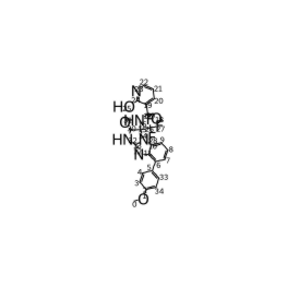 COc1ccc(-c2cccc3c2nc2n3C(NC(=O)c3cccnc3O)(C(F)(F)F)C(=O)N2)cc1